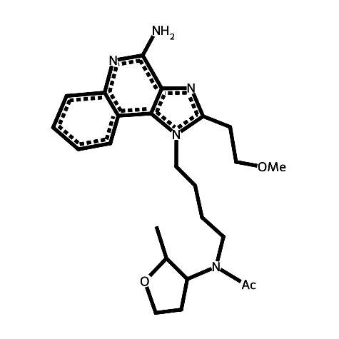 COCCc1nc2c(N)nc3ccccc3c2n1CCCCN(C(C)=O)C1CCOC1C